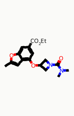 CCOC(=O)c1cc(OC2CN(C(=O)N(C)C)C2)c2cc(C)oc2c1